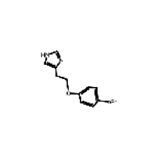 CCCc1ccc(OCCc2c[nH]cn2)cc1